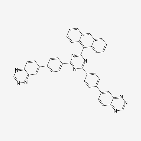 c1ccc2c(-c3nc(-c4ccc(-c5ccc6ncnnc6c5)cc4)nc(-c4ccc(-c5ccc6ncnnc6c5)cc4)n3)c3ccccc3cc2c1